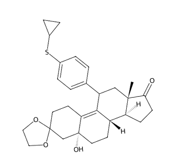 C[C@]12CC(c3ccc(SC4CC4)cc3)C3=C4CCC5(C[C@]4(O)CC[C@H]3[C@@H]1CCC2=O)OCCO5